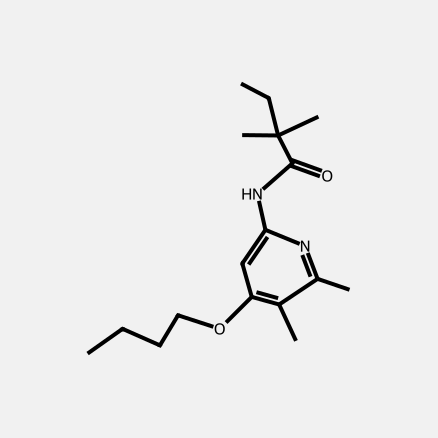 CCCCOc1cc(NC(=O)C(C)(C)CC)nc(C)c1C